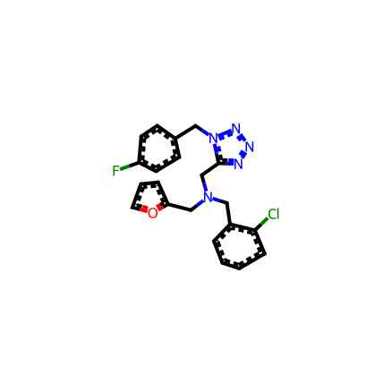 Fc1ccc(Cn2nnnc2CN(Cc2ccco2)Cc2ccccc2Cl)cc1